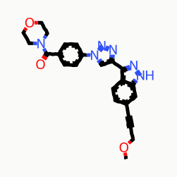 COCC#Cc1ccc2c(-c3cn(-c4ccc(C(=O)N5CCOCC5)cc4)nn3)n[nH]c2c1